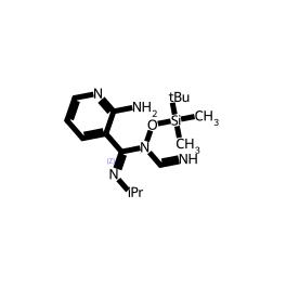 CC(C)/N=C(/c1cccnc1N)N(C=N)O[Si](C)(C)C(C)(C)C